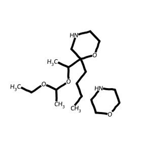 C1COCCN1.CCCCC1(C(C)OC(C)OCC)CNCCO1